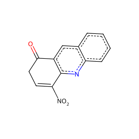 O=C1CC=C([N+](=O)[O-])c2nc3ccccc3cc21